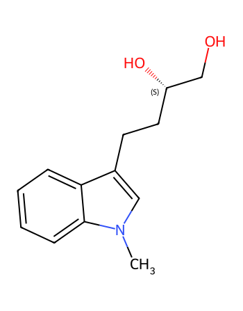 Cn1cc(CC[C@H](O)CO)c2ccccc21